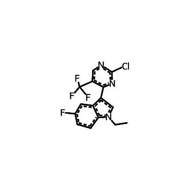 CCn1cc(-c2nc(Cl)ncc2C(F)(F)F)c2cc(F)ccc21